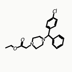 CCOC(=O)CN1CCN(C(c2ccccc2)c2ccc(Cl)cc2)CC1